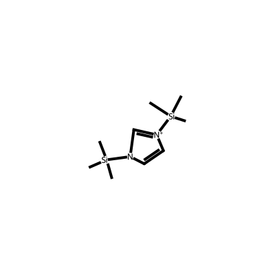 C[Si](C)(C)n1cc[n+]([Si](C)(C)C)c1